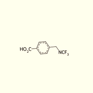 O=C(O)c1ccc(CNC(F)(F)F)cc1